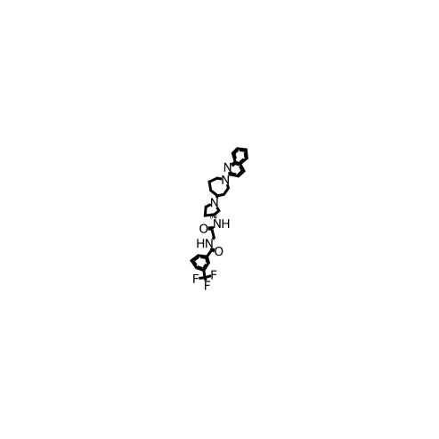 O=C(CNC(=O)c1cccc(C(F)(F)F)c1)N[C@@H]1CCN(C2CCCN(c3ccc4ccccc4n3)CC2)C1